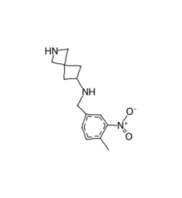 Cc1ccc(CNC2CC3(CNC3)C2)cc1[N+](=O)[O-]